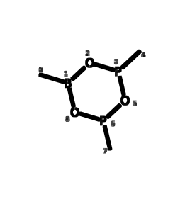 CB1OP(C)OP(C)O1